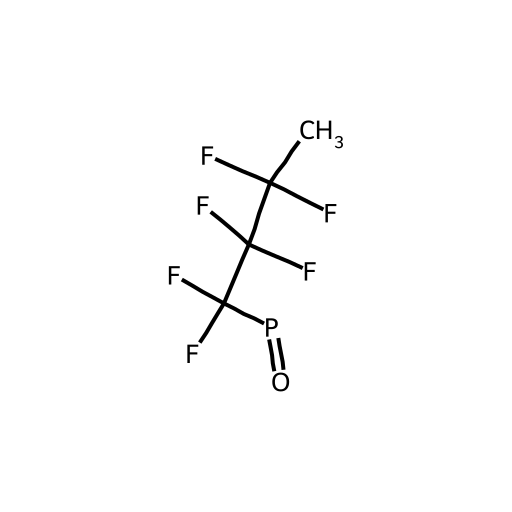 CC(F)(F)C(F)(F)C(F)(F)P=O